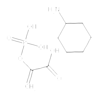 C=C(OP(=O)(O)O)C(=O)O.NC1CCCCC1